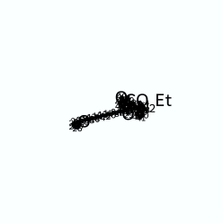 CCOC(=O)Cn1cc(N(CCCCCCCCCCCCCCOCc2ccccc2)C(=O)[C@H]2CCCN(c3cncc4ccccc34)C2)ccc1=O